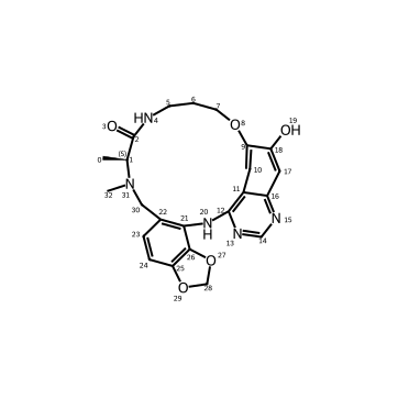 C[C@H]1C(=O)NCCCOc2cc3c(ncnc3cc2O)Nc2c(ccc3c2OCO3)CN1C